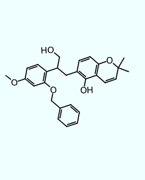 COc1ccc(C(CO)Cc2ccc3c(c2O)C=CC(C)(C)O3)c(OCc2ccccc2)c1